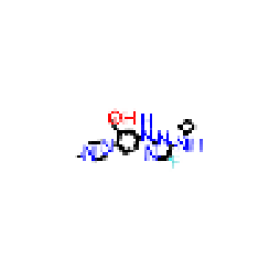 CN1CCN(c2ccc(Nc3ncc(F)c(NC4CCC4)n3)cc2CO)CC1